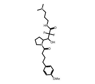 COc1ccc(CCCC(=O)N2CCCC2C(O)C(F)(F)C(=O)NCCCN(C)C)cc1